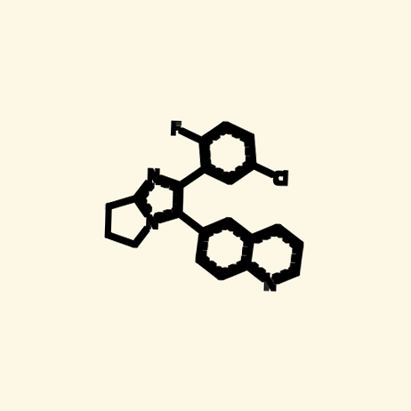 Fc1ccc(Cl)cc1-c1nc2n(c1-c1ccc3ncccc3c1)CCC2